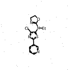 CCN(C1=NCCO1)c1sc(-c2cccnc2)nc1Cl